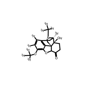 [2H]c1c([2H])c(OC([2H])([2H])[2H])c2c3c1C[C@@]1([2H])N(C([2H])([2H])[2H])CC[C@@]34C(O2)C(=O)CC[C@]41O